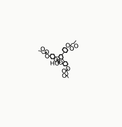 CC(=O)CC(=O)Oc1ccc(-c2cc(-c3ccc(OC(=O)CC(C)=O)cc3)c(S(=O)(=O)O)c(-c3ccc(OC(=O)CC(C)=O)cc3)c2)cc1